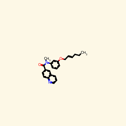 CCCC=CCOc1cccc(N(C)C(=O)c2ccc3ncccc3c2)c1